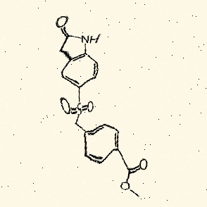 COC(=O)c1ccc(CS(=O)(=O)c2ccc3c(c2)CC(=O)N3)cc1